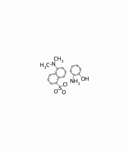 CN(C)c1cccc2c(S(=O)(=O)Cl)cccc12.Nc1ccccc1O